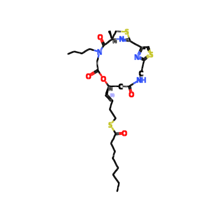 CCCCCCCC(=O)SCC/C=C/[C@@H]1CC(=O)NCc2nc(cs2)C2=N[C@@](C)(CS2)C(=O)N(CCCC)CC(=O)O1